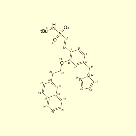 CC(C)(C)NS(=O)(=O)C=Cc1ccc(Cn2cccn2)cc1OCCc1ccc2ccccc2c1